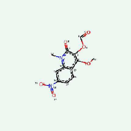 COc1c(OC=O)c(=O)n(C)c2cc([N+](=O)[O-])ccc12